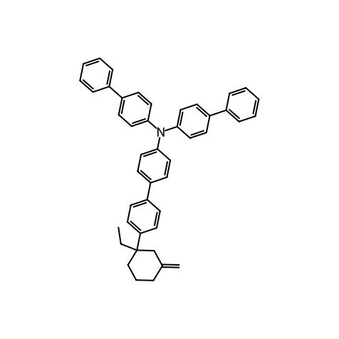 C=C1CCCC(CC)(c2ccc(-c3ccc(N(c4ccc(-c5ccccc5)cc4)c4ccc(-c5ccccc5)cc4)cc3)cc2)C1